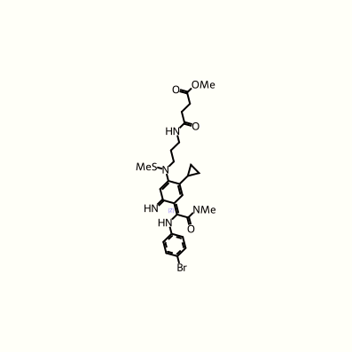 CNC(=O)/C(Nc1ccc(Br)cc1)=C1\C=C(C2CC2)C(N(CCCNC(=O)CCC(=O)OC)SC)=CC1=N